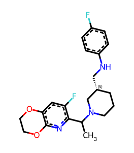 CC(c1nc2c(cc1F)OCCO2)N1CCC[C@@H](CNc2ccc(F)cc2)C1